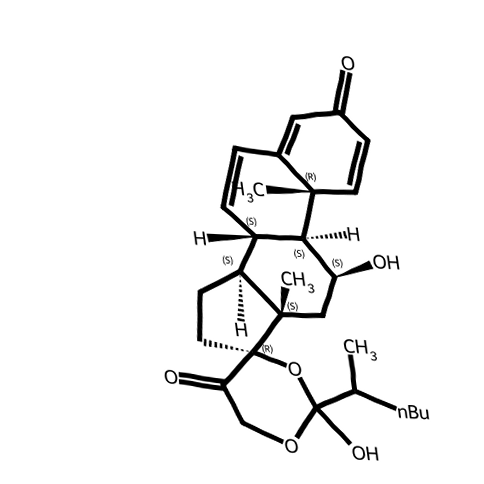 CCCCC(C)C1(O)OCC(=O)[C@]2(CC[C@H]3[C@@H]4C=CC5=CC(=O)C=C[C@]5(C)[C@H]4[C@@H](O)C[C@@]32C)O1